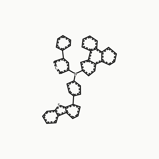 c1ccc(-c2cccc(N(c3ccc(-c4cccc5c4sc4ccccc45)cc3)c3ccc4c5ccccc5c5ccccc5c4c3)c2)cc1